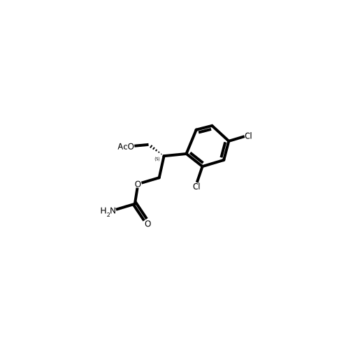 CC(=O)OC[C@@H](COC(N)=O)c1ccc(Cl)cc1Cl